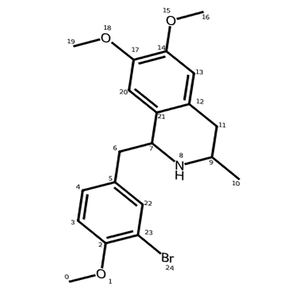 COc1ccc(CC2NC(C)Cc3cc(OC)c(OC)cc32)cc1Br